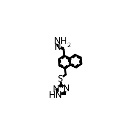 NN=Cc1ccc(CSc2nc[nH]n2)c2ccccc12